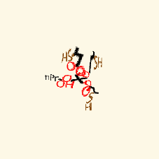 CCCC(O)OCC(COCCC(C)S)(COC(=O)CC(C)S)COC(=O)CC(C)S